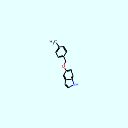 Cc1ccc(COc2ccc3[nH]ccc3c2)cc1